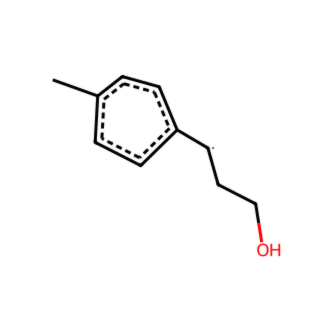 Cc1ccc([CH]CCO)cc1